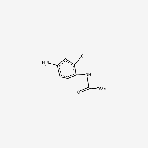 COC(=O)Nc1ccc(N)cc1Cl